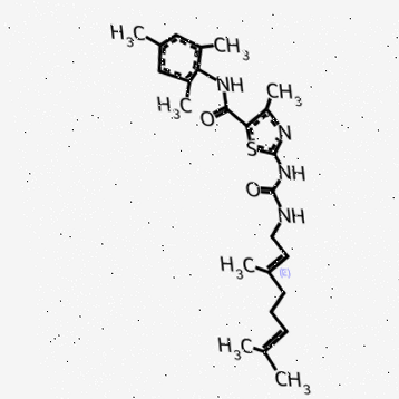 CC(C)=CCC/C(C)=C/CNC(=O)Nc1nc(C)c(C(=O)Nc2c(C)cc(C)cc2C)s1